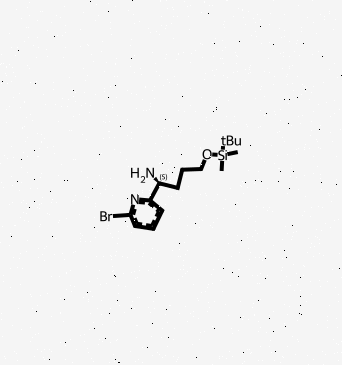 CC(C)(C)[Si](C)(C)OCCC[C@H](N)c1cccc(Br)n1